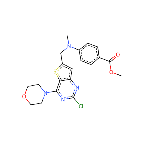 COC(=O)c1ccc(N(C)Cc2cc3nc(Cl)nc(N4CCOCC4)c3s2)cc1